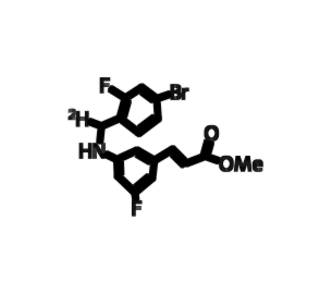 [2H]C(Nc1cc(F)cc(/C=C/C(=O)OC)c1)c1ccc(Br)cc1F